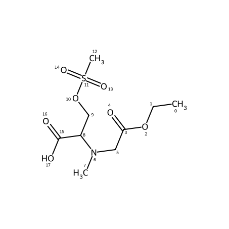 CCOC(=O)CN(C)C(COS(C)(=O)=O)C(=O)O